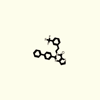 O=c1c2sccc2nc(-c2ccc(-c3ccccc3)cc2)n1CCc1cccc(C(F)(F)F)c1